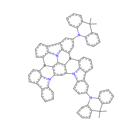 CC1(C)c2ccccc2N(c2ccc3c(c2)c2cccc4c2n3-c2cc3c5c6c2B4c2cc(N4c7ccccc7C(C)(C)c7ccccc74)cc4c7cccc(c7n-6c24)B5c2cccc4c5ccccc5n-3c24)c2ccccc21